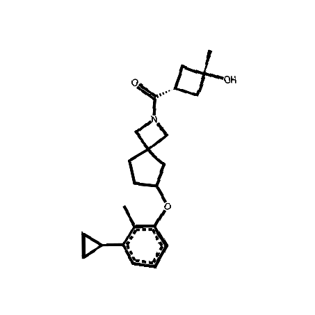 Cc1c(OC2CCC3(C2)CN(C(=O)[C@H]2C[C@@](C)(O)C2)C3)cccc1C1CC1